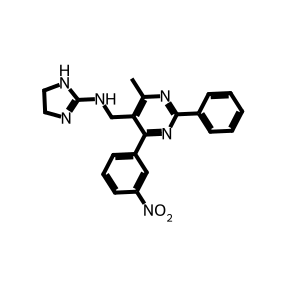 Cc1nc(-c2ccccc2)nc(-c2cccc([N+](=O)[O-])c2)c1CNC1=NCCN1